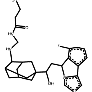 NCCC(=O)NCNC1C2CC3CC1CC(C(O)CC1c4c(F)cccc4-c4cncn41)(C3)C2